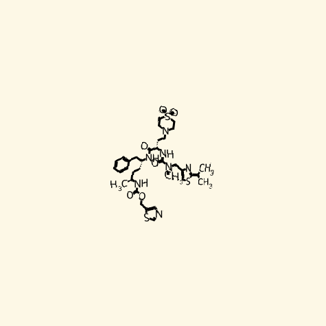 CC(C)c1nc(CN(C)C(=O)N[C@@H](CCN2CCS(=O)(=O)CC2)C(=O)N[C@H](CC[C@H](C)NC(=O)OCc2cncs2)Cc2ccccc2)cs1